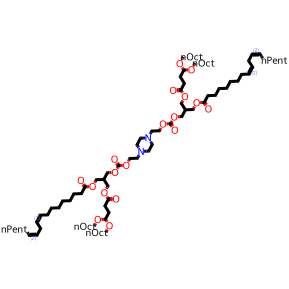 CCCCC/C=C\C/C=C\CCCCCCCC(=O)OCC(COC(=O)CCC(OCCCCCCCC)OCCCCCCCC)COC(=O)OCCN1CCN(CCOC(=O)OCC(COC(=O)CCCCCCC/C=C\C/C=C\CCCCC)COC(=O)CCC(OCCCCCCCC)OCCCCCCCC)CC1